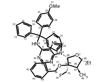 CC[C@H]1O[C@@H](n2cnc3c(NC(c4ccccc4)(c4ccccc4)c4ccc(OC)cc4)ncnc32)[C@](CF)(OCc2ccccc2)[C@@H]1C